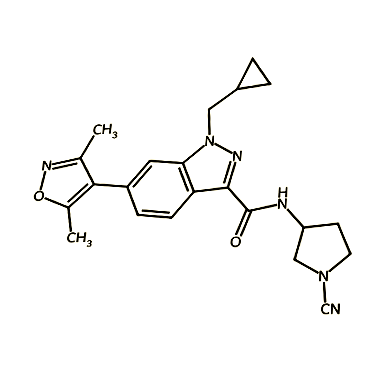 Cc1noc(C)c1-c1ccc2c(C(=O)NC3CCN(C#N)C3)nn(CC3CC3)c2c1